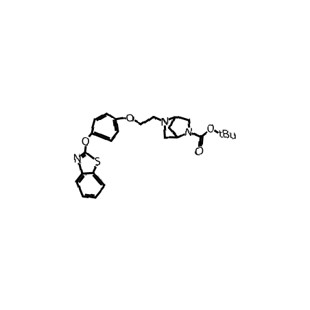 CC(C)(C)OC(=O)N1CC2CC1CN2CCOc1ccc(Oc2nc3ccccc3s2)cc1